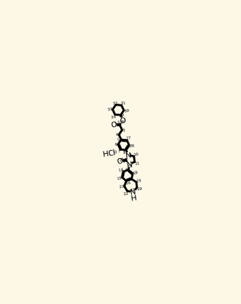 Cl.O=C(CCc1ccc(N2CCN(c3ccc4c(c3)CCNCC4)C2=O)cc1)OC1CCCCC1